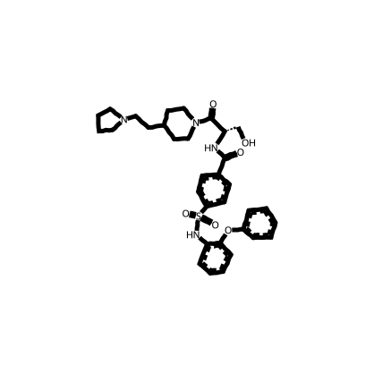 O=C(N[C@@H](CO)C(=O)N1CCC(CCN2CCCC2)CC1)c1ccc(S(=O)(=O)Nc2ccccc2Oc2ccccc2)cc1